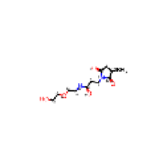 BC1CC(=O)N(CCC(=O)NCCOCCO)C1=O